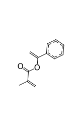 C=C(C)C(=O)OC(=C)c1ccccc1